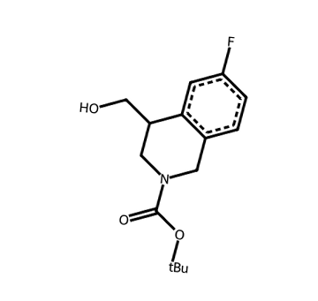 CC(C)(C)OC(=O)N1Cc2ccc(F)cc2C(CO)C1